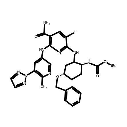 Cc1ncc(Nc2nc(NC3C[C@@H](OCc4ccccc4)CC[C@@H]3NC(=O)OC(C)(C)C)c(F)cc2C(N)=O)cc1-n1nccn1